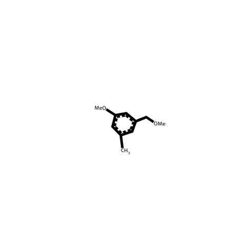 COCc1cc(C)cc(OC)c1